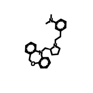 CN(C)c1cccc(CCN2CCC[C@H]2CN2c3ccccc3COc3ccccc32)c1